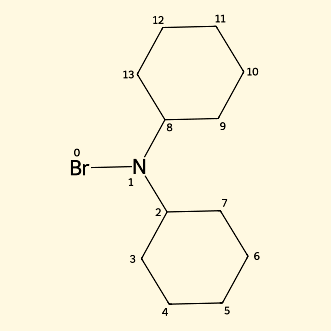 BrN(C1CCCCC1)C1CCCCC1